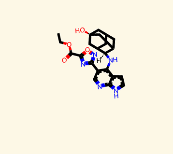 CCOC(=O)c1nc(-c2cnc3[nH]ccc3c2N[C@H]2C3CC4CC2C[C@@](O)(C4)C3)no1